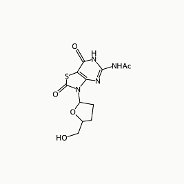 CC(=O)Nc1nc2c(sc(=O)n2C2CCC(CO)O2)c(=O)[nH]1